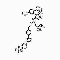 Cc1ccc(C(C)C)c(N2C(=O)C3(CC3)S/C2=N\C(=N\CCc2ccc(-c3ncn(-c4ccc(OC(F)(F)F)cc4)n3)cc2)SCC(C)C)c1